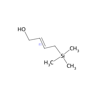 C[Si](C)(C)C/C=C/CO